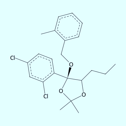 CCCC1OC(C)(C)O[C@]1(OCc1ccccc1C)c1ccc(Cl)cc1Cl